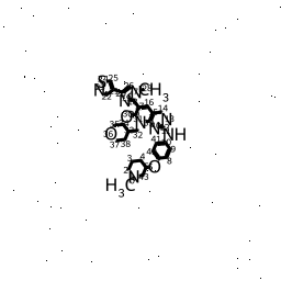 CN1CCCC(Oc2ccc(Nc3ncc4cc(-c5nc(-c6cnsc6)cn5C)c(=O)n(CC5CCOCC5)c4n3)cc2)C1